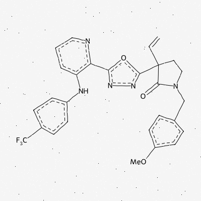 C=CC1(c2nnc(-c3ncccc3Nc3ccc(C(F)(F)F)cc3)o2)CCN(Cc2ccc(OC)cc2)C1=O